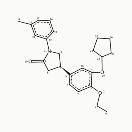 CCOc1ccc([C@H]2CC(=O)N(c3cccc(C)c3)C2)cc1OC1CCCC1